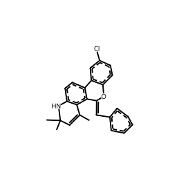 CC1=CC(C)(C)Nc2ccc3c(c21)/C(=C/c1ccccc1)Oc1ccc(Cl)cc1-3